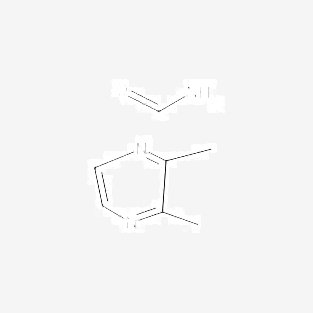 Cc1nccnc1C.NC=O